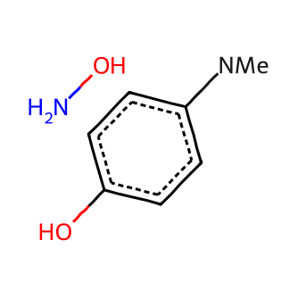 CNc1ccc(O)cc1.NO